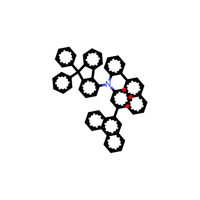 c1ccc(C2(c3ccccc3)c3ccccc3-c3c(N(c4cccc(-c5cc6ccccc6c6ccccc56)c4)c4ccccc4-c4ccc5ccccc5c4)cccc32)cc1